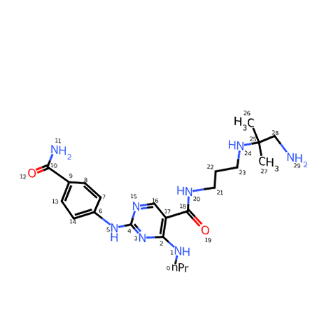 CCCNc1nc(Nc2ccc(C(N)=O)cc2)ncc1C(=O)NCCCNC(C)(C)CN